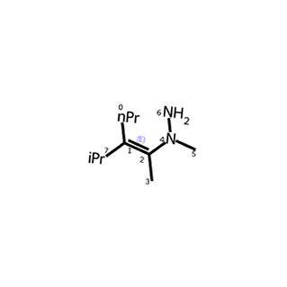 CCC/C(=C(/C)N(C)N)C(C)C